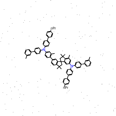 CCCc1ccc(-c2ccc(N(c3ccc(-c4cccc(C)c4)cc3)c3ccc(-c4ccc5c(c4)C4(CC5(C)C)CC(C)(C)c5c(C)cc(N(c6ccc(-c7ccc(CCC)cc7)cc6)c6ccc(-c7cccc(C)c7)cc6)cc54)c(C)c3)cc2)cc1